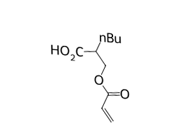 C=CC(=O)OCC(CCCC)C(=O)O